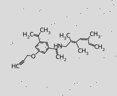 C#CCOc1cc(C(=C)C)cc(C(=C)NC/C(C)=C(C)/C=C(/C)C=C)c1